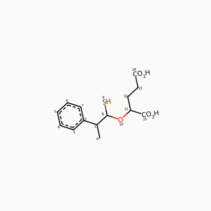 CC(c1ccccc1)C(S)OC(CCC(=O)O)C(=O)O